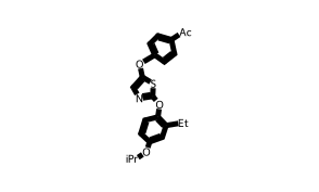 CCc1cc(OC(C)C)ccc1Oc1ncc(Oc2ccc(C(C)=O)cc2)s1